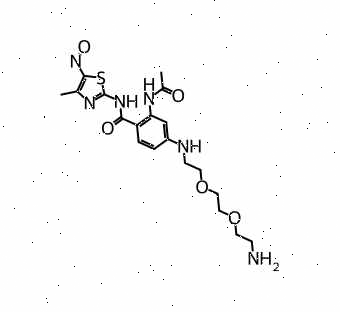 CC(=O)Nc1cc(NCCOCCOCCN)ccc1C(=O)Nc1nc(C)c(N=O)s1